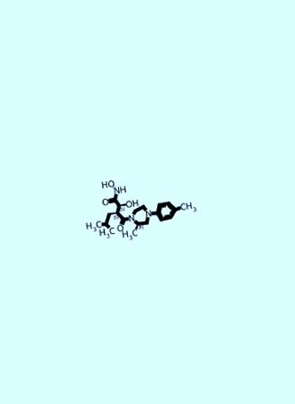 Cc1ccc(N2CCN(C(=O)[C@@H](CC(C)C)[C@H](O)C(=O)NO)[C@H](C)C2)cc1